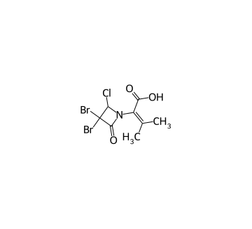 CC(C)=C(C(=O)O)N1C(=O)C(Br)(Br)C1Cl